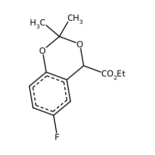 CCOC(=O)C1OC(C)(C)Oc2ccc(F)cc21